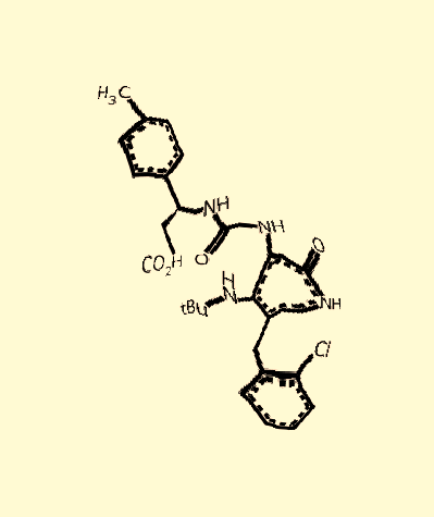 Cc1ccc([C@H](CC(=O)O)NC(=O)Nc2c(NC(C)(C)C)c(Cc3ccccc3Cl)c[nH]c2=O)cc1